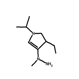 CCC1CN(C(C)C)C=C1N(C)N